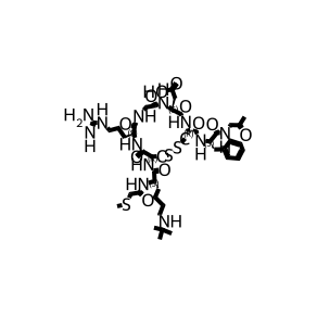 CSCC(=O)N[C@@H](CCCCNC(C)(C)C)C(=O)N[C@H]1CSSC[C@@H](C(=O)N[C@@H](Cc2ccccc2)C(=O)NCC(C)=O)NC(=O)[C@H](CC(=O)O)NC(=O)CNC(=O)[C@H](CCCNC(=N)N)NC1=O